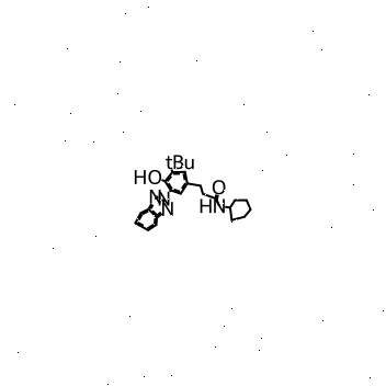 CC(C)(C)c1cc(CCC(=O)NC2CCCCC2)cc(-n2nc3ccccc3n2)c1O